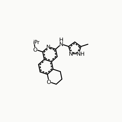 Cc1cc(Nc2cc3c4c(ccc3c(OC(C)C)n2)OCCC4)n[nH]1